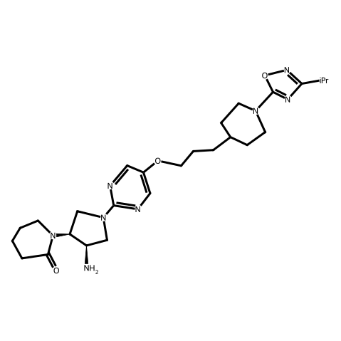 CC(C)c1noc(N2CCC(CCCOc3cnc(N4C[C@@H](N)[C@@H](N5CCCCC5=O)C4)nc3)CC2)n1